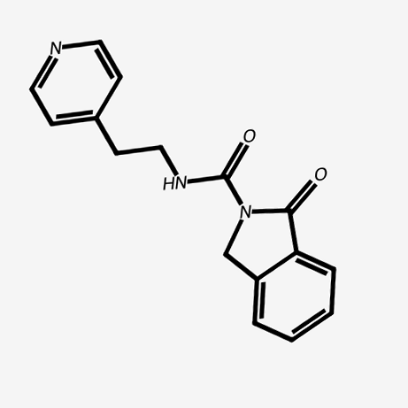 O=C(NCCc1ccncc1)N1Cc2ccccc2C1=O